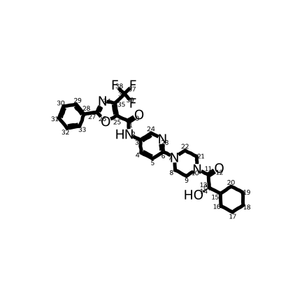 O=C(Nc1ccc(N2CCN(C(=O)[C@@H](O)C3CCCCC3)CC2)nc1)c1oc(-c2ccccc2)nc1C(F)(F)F